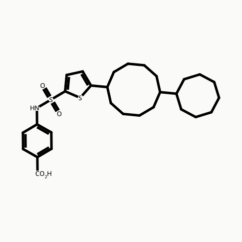 O=C(O)c1ccc(NS(=O)(=O)c2ccc(C3CCCCC(C4CCCCCCC4)CCCC3)s2)cc1